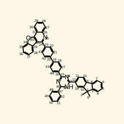 CC1(C)c2ccccc2-c2ccc(C3=NC(c4ccc(-c5ccc(-c6nc7ccccc7c7oc8ccccc8c67)cc5)cc4)=NC(c4ccccc4)N3)cc21